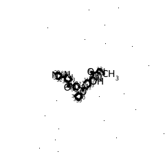 Cn1ccc2c(=O)n(CC3(O)CCN(C(=O)[C@@H]4CCN(C(=O)c5ccnc(-c6ccncc6)c5)C[C@H]4c4ccccc4)CC3)cnc21